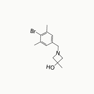 Cc1cc(CN2CC(C)(O)C2)cc(C)c1Br